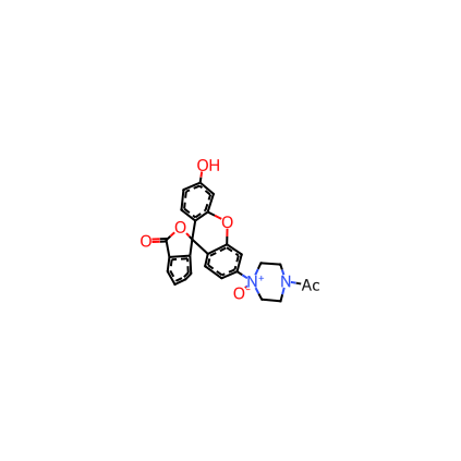 CC(=O)N1CC[N+]([O-])(c2ccc3c(c2)Oc2cc(O)ccc2C32OC(=O)c3ccccc32)CC1